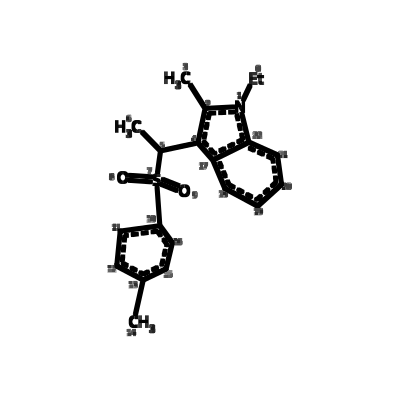 CCn1c(C)c(C(C)S(=O)(=O)c2ccc(C)cc2)c2ccccc21